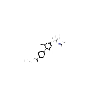 N=NNC(=O)c1ccc(-c2c(Cl)cc(N(N)C(N)/N=C(/N)NN)cc2Cl)cc1